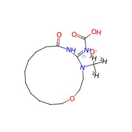 [2H]C([2H])([2H])N1CCOCCCCCCCCCC(=O)N/C1=[N+](/[O-])C(=O)O